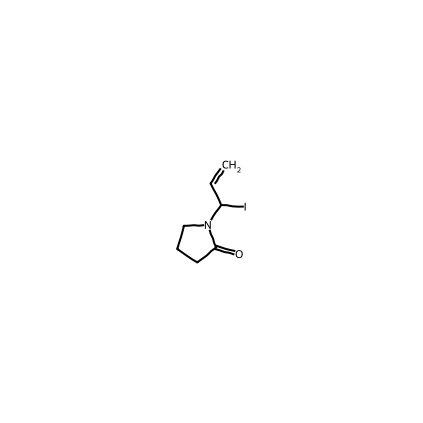 C=CC(I)N1CCCC1=O